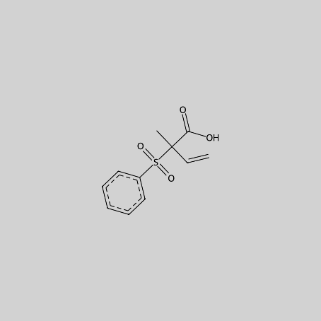 C=CC(C)(C(=O)O)S(=O)(=O)c1ccccc1